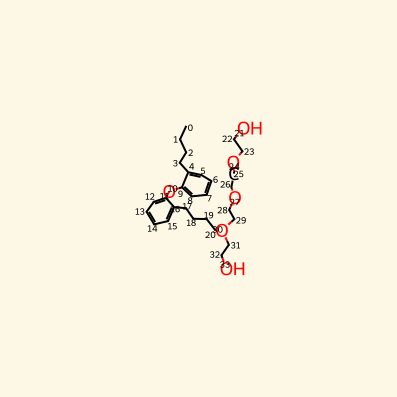 CCCCc1ccccc1Oc1ccccc1CCCC.OCCOCCOCCOCCO